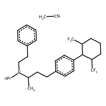 CC#N.CCCN(CCc1ccccc1)C(C)CCc1ccc(C2C(C(F)(F)F)CCCC2C(F)(F)F)cc1